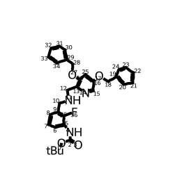 CC(C)(C)OC(=O)Nc1cccc(CNCc2ncc(OCc3ccccc3)cc2OCc2ccccc2)c1F